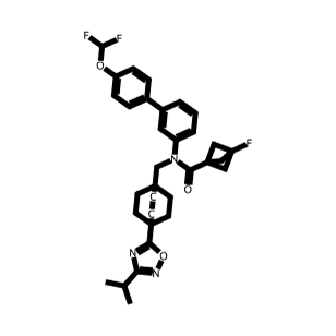 CC(C)c1noc(C23CCC(CN(C(=O)C45CC(F)(C4)C5)c4cccc(-c5ccc(OC(F)F)cc5)c4)(CC2)CC3)n1